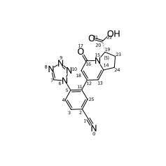 N#Cc1ccc(-n2cnnn2)c(-c2cc3n(c(=O)c2)[C@H](C(=O)O)CC3)c1